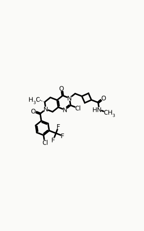 CNC(=O)C1CC(Cn2c(Cl)nc3c(c2=O)C[C@@H](C)N(C(=O)c2ccc(Cl)c(C(F)(F)F)c2)C3)C1